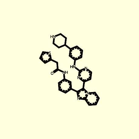 O=C(Cc1cccs1)Nc1cccc(-c2nc3ccccn3c2-c2ccnc(Nc3cccc(C4CCNCC4)c3)n2)c1